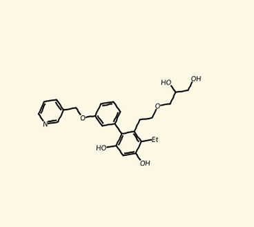 CCc1c(O)cc(O)c(-c2cccc(OCc3cccnc3)c2)c1CCOCC(O)CO